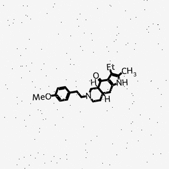 CCc1c(C)[nH]c2c1C(=O)[C@@H]1CN(CCc3ccc(OC)cc3)CC[C@H]1C2